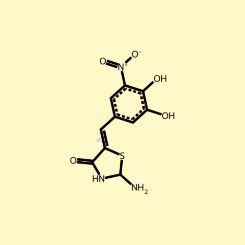 NC1NC(=O)/C(=C/c2cc(O)c(O)c([N+](=O)[O-])c2)S1